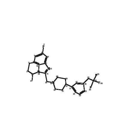 CC1CCc2cc(F)cc3nc(CN4CCC(c5cccc(CC(F)(F)F)c5)CC4)n1c23